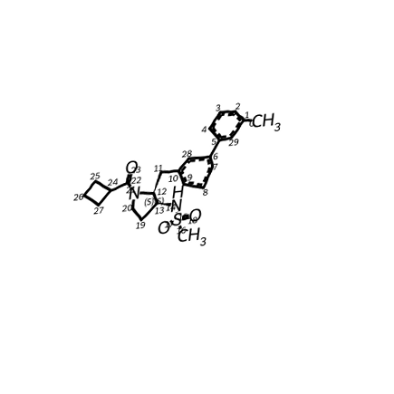 Cc1cccc(-c2cccc(C[C@H]3[C@@H](NS(C)(=O)=O)CCN3C(=O)C3CCC3)c2)c1